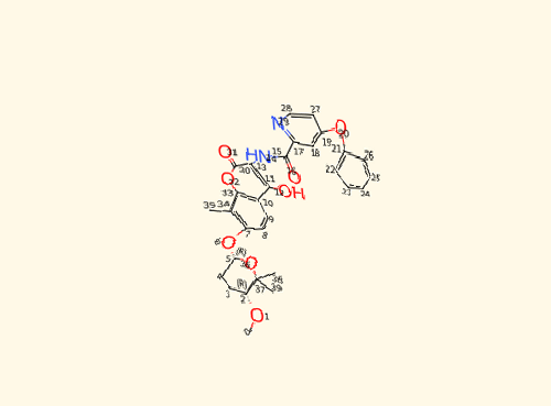 CO[C@@H]1CC[C@H](Oc2ccc3c(O)c(NC(=O)c4cc(Oc5ccccc5)ccn4)c(=O)oc3c2C)OC1(C)C